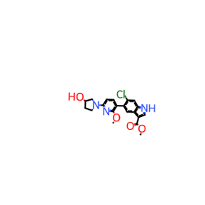 COC(=O)c1c[nH]c2cc(Cl)c(-c3ccc(N4CCC(O)C4)nc3OC)cc12